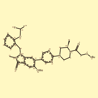 CCCCOCC(=O)N1CCN(c2ncc(-c3cc4c(cc3OC)c(=O)n(C)n4Cc3ccccc3OC(F)F)cn2)C[C@H]1C